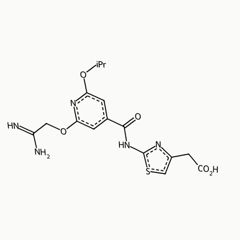 CC(C)Oc1cc(C(=O)Nc2nc(CC(=O)O)cs2)cc(OCC(=N)N)n1